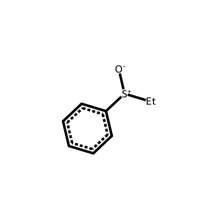 CC[S+]([O-])c1ccccc1